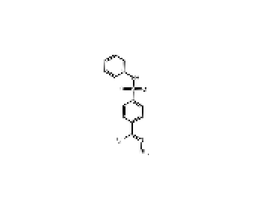 CC(=NN)c1ccc(S(=O)(=O)Nc2ccccc2)cc1